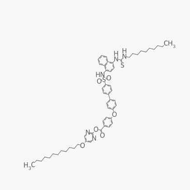 CCCCCCCCCCCCOc1cnc(OC(=O)c2ccc(Oc3ccc(-c4ccc(S(=O)(=O)Nc5ccc(NC(=S)NCCCCCCCCCC)c6ccccc56)cc4)cc3)cc2)nc1